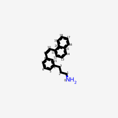 NCCCc1cccc(/C=C\c2cccc3ccccc23)c1